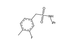 Cc1ccc(CS(=O)(=O)NC(C)C)cc1F